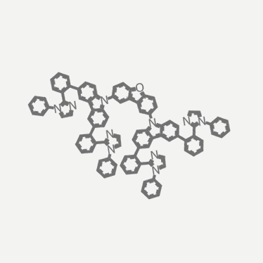 c1ccc(-n2ccnc2-c2ccccc2-c2ccc3c(c2)c2cc(-c4ccccc4-c4nccn4-c4ccccc4)ccc2n3-c2ccc3oc4ccc(-n5c6ccc(-c7ccccc7-c7nccn7-c7ccccc7)cc6c6cc(-c7ccccc7-c7nccn7-c7ccccc7)ccc65)cc4c3c2)cc1